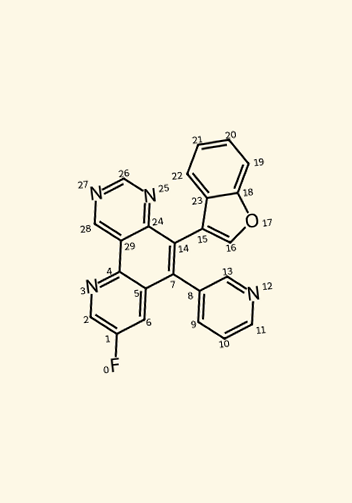 Fc1cnc2c(c1)c(-c1cccnc1)c(-c1coc3ccccc13)c1ncncc12